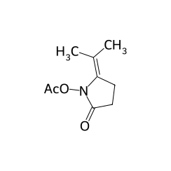 CC(=O)ON1C(=O)CCC1=C(C)C